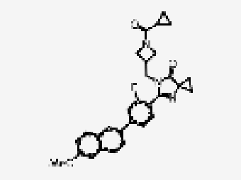 COc1ccc2cc(-c3ccc(C4=NC5(CC5)C(=O)N4CC4CN(C(=O)C5CC5)C4)c(F)c3)ccc2c1